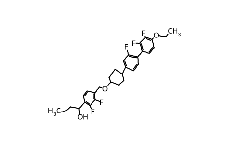 CCCC(O)c1ccc(COC2CCC(c3ccc(-c4ccc(OCC)c(F)c4F)c(F)c3)CC2)c(F)c1F